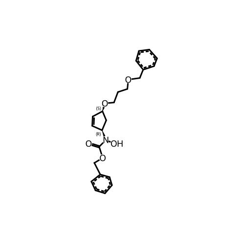 O=C(OCc1ccccc1)N(O)[C@H]1C=C[C@@H](OCCCOCc2ccccc2)C1